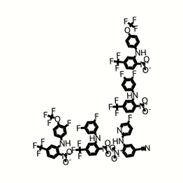 N#Cc1ccc([N+](=O)[O-])c(Nc2ccc(F)cn2)c1.O=[N+]([O-])c1ccc(C(F)(F)F)cc1Nc1cc(F)cc(F)c1.O=[N+]([O-])c1ccc(C(F)(F)F)cc1Nc1ccc(F)c(F)c1.O=[N+]([O-])c1ccc(C(F)(F)F)cc1Nc1ccc(OC(F)(F)F)c(F)c1.O=[N+]([O-])c1ccc(C(F)(F)F)cc1Nc1ccc(OC(F)(F)F)cc1